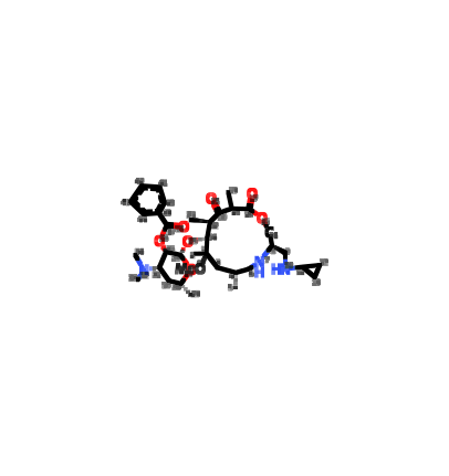 CO[C@]1(C)C[C@@H](C)CN[C@H](CNC2CC2)COC(=O)C(C)C(=O)[C@H](C)[C@H]1O[C@@H]1O[C@H](C)C[C@H](N(C)C)[C@H]1OC(=O)c1ccccc1